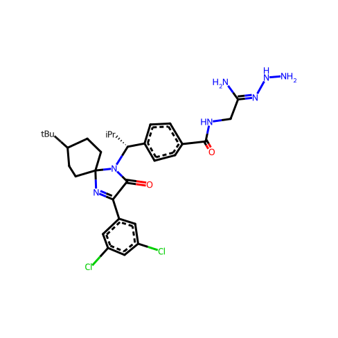 CC(C)[C@H](c1ccc(C(=O)NC/C(N)=N/NN)cc1)N1C(=O)C(c2cc(Cl)cc(Cl)c2)=NC12CCC(C(C)(C)C)CC2